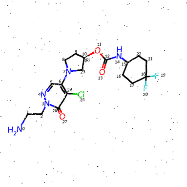 NCCn1ncc(N2CC[C@@H](OC(=O)NC3CCC(F)(F)CC3)C2)c(Cl)c1=O